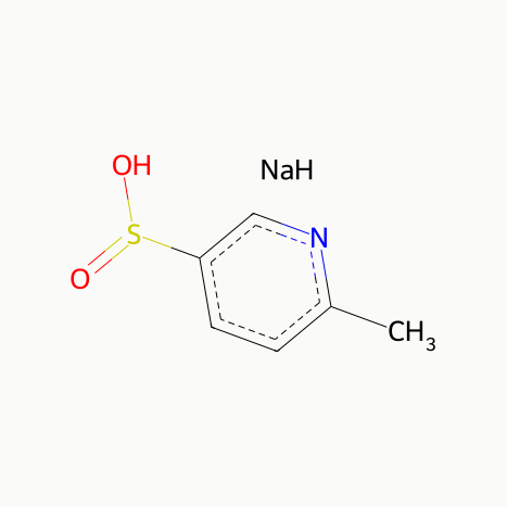 Cc1ccc(S(=O)O)cn1.[NaH]